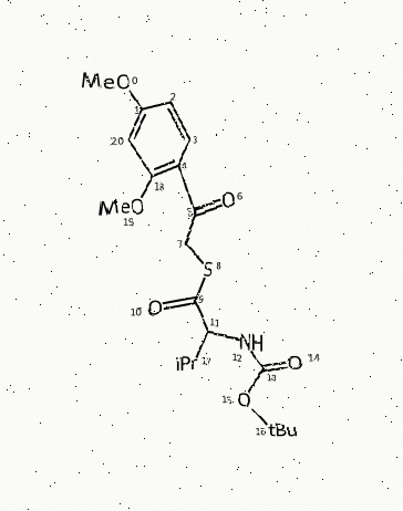 COc1ccc(C(=O)CSC(=O)C(NC(=O)OC(C)(C)C)C(C)C)c(OC)c1